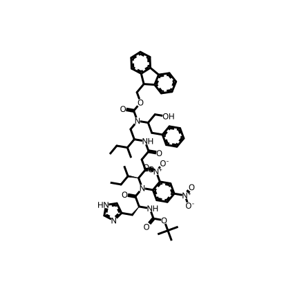 CCC(C)C(CN(C(=O)OCC1c2ccccc2-c2ccccc21)C(CO)Cc1ccccc1)NC(=O)CC(=O)[C@H](C(C)CC)N(C(=O)[C@H](Cc1c[nH]cn1)NC(=O)OC(C)(C)C)c1ccc([N+](=O)[O-])cc1[N+](=O)[O-]